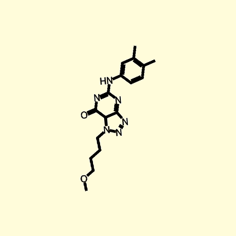 COCCCCN1N=NC2=NC(Nc3ccc(C)c(C)c3)=NC(=O)C21